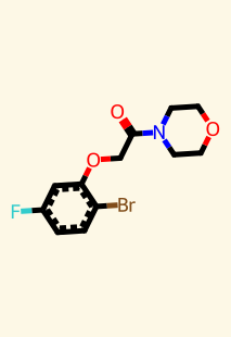 O=C(COc1cc(F)ccc1Br)N1CCOCC1